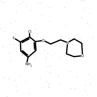 Nc1cc(F)c(Cl)c(OCCN2CCOCC2)c1